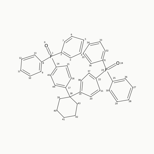 O=P(c1ccccc1)(c1ccccc1)c1ccc(C2(c3ccc(P(=O)(c4ccccc4)c4ccccc4)cc3)CCCCC2)cc1